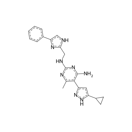 Cc1nc(NCc2nc(-c3ccccc3)c[nH]2)nc(N)c1-c1cc(C2CC2)[nH]n1